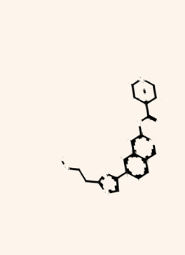 CNCCc1ncc(-c2ccc3cnc(NC(=O)C45CCN(CC4)CC5)cc3c2)s1